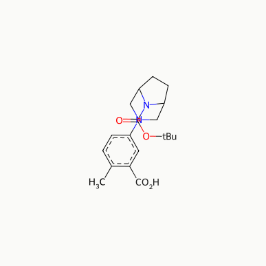 Cc1ccc(N2CC3CCC(C2)N3C(=O)OC(C)(C)C)cc1C(=O)O